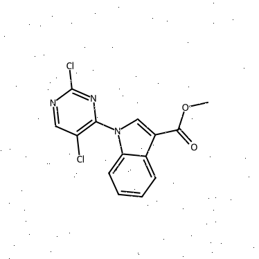 COC(=O)c1cn(-c2nc(Cl)ncc2Cl)c2ccccc12